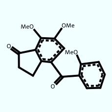 COc1ccccc1C(=O)c1cc(OC)c(OC)c2c1CCC2=O